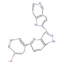 Oc1cncc(-c2ccc3[nH]nc(-c4cc5cnccc5[nH]4)c3n2)c1